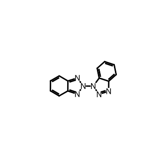 c1ccc2nn(-n3nnc4ccccc43)nc2c1